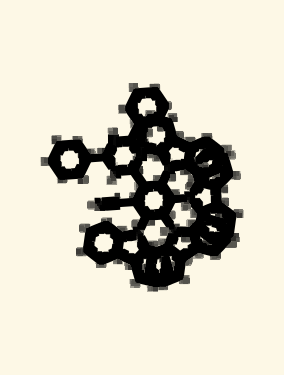 N#Cc1c(-c2nc(-c3ccccc3)nc(-c3ccccc3)n2)c(-n2c3ccccc3c3cccnc32)c(-n2c3ccccc3c3cccnc32)c(-n2c3ccccc3c3cccnc32)c1-n1c2ccccc2c2cccnc21